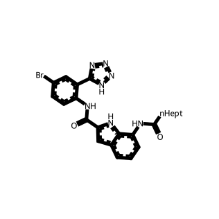 CCCCCCCC(=O)Nc1cccc2cc(C(=O)Nc3ccc(Br)cc3-c3nnn[nH]3)[nH]c12